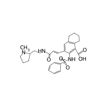 CN1CCCC1CCNC(=O)C=Cc1cc2c(c(C(=O)O)c1NS(=O)(=O)c1ccccc1)CCCC2